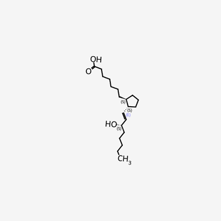 CCCCC[C@H](O)/C=C/[C@H]1CCC[C@@H]1CCCCCCC(=O)O